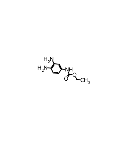 CCOC(=O)Nc1ccc(N)c(N)c1